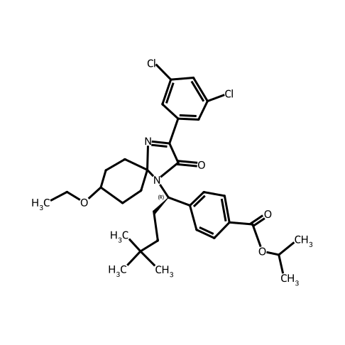 CCOC1CCC2(CC1)N=C(c1cc(Cl)cc(Cl)c1)C(=O)N2[C@H](CCC(C)(C)C)c1ccc(C(=O)OC(C)C)cc1